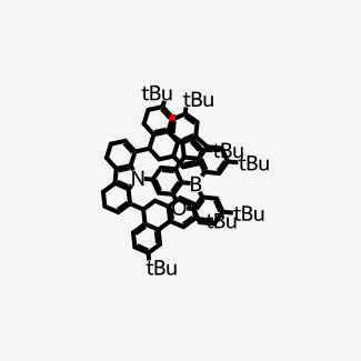 CC(C)(C)C1=CC2C3=C(CCC(C(C)(C)C)=C3)C(C3=CCCc4c5c(n(-c6cc7c8c(c6)C6c9ccc(C(C)(C)C)cc9-c9cc(C(C)(C)C)cc(c96)B8c6cc(C(C)(C)C)ccc6O7)c43)C(C3Cc4ccc(C(C)(C)C)cc4-c4cc(C(C)(C)C)ccc43)=CCC5)CC2C=C1